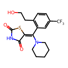 O=C1NC(=O)C(=C(c2cc(C(F)(F)F)ccc2CCO)N2CCCCC2)S1